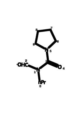 CCCN([C]=O)C(=O)N1CCCC1